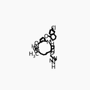 C[C@@H]1CC/C=C/[C@H](OCc2nc[nH]n2)[C@@H]2CC[C@H]2CN2C[C@@]3(CCCc4cc(Cl)ccc43)COc3ccc(cc32)C(=O)NS1(=O)=O